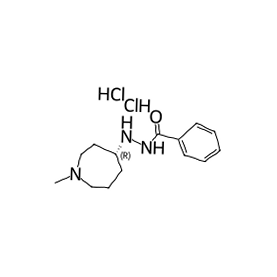 CN1CCC[C@@H](NNC(=O)c2ccccc2)CC1.Cl.Cl